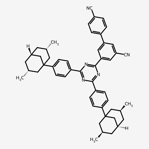 C[C@@H]1C[C@@H]2C[C@H](C)CC(c3ccc(-c4nc(-c5ccc(C67C[C@H](C)C[C@H](C[C@H](C)C6)C7)cc5)nc(-c5cc(C#N)cc(-c6ccc(C#N)cc6)c5)n4)cc3)(C1)C2